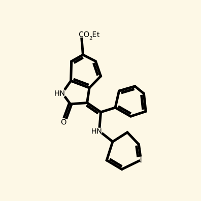 CCOC(=O)c1ccc2c(c1)NC(=O)/C2=C(\NC1C=CI=CC1)c1ccccc1